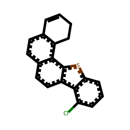 Clc1cccc2sc3c(ccc4ccc5c(c43)CCC=C5)c12